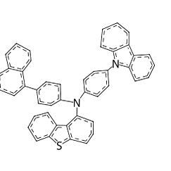 c1ccc2c(-c3ccc(N(c4ccc(-n5c6ccccc6c6ccccc65)cc4)c4cccc5sc6ccccc6c45)cc3)cccc2c1